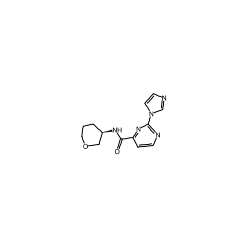 O=C(N[C@@H]1CCCOC1)c1ccnc(-n2ccnc2)n1